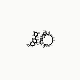 COc1ccc2c(O[C@@H]3C[C@H]4C(=O)N[C@]5(C(=O)O)C[C@H]5CCCCCCCOC(=O)N4C3)cc(-c3ccccc3)nc2c1